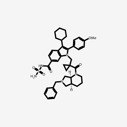 COc1ccc(-c2c(C3CCCCC3)c3ccc(C(=O)NS(N)(=O)=O)cc3n2CC2(C(=O)N3CCC[C@H]4CN(Cc5ccccc5)C[C@H]43)CC2)cc1